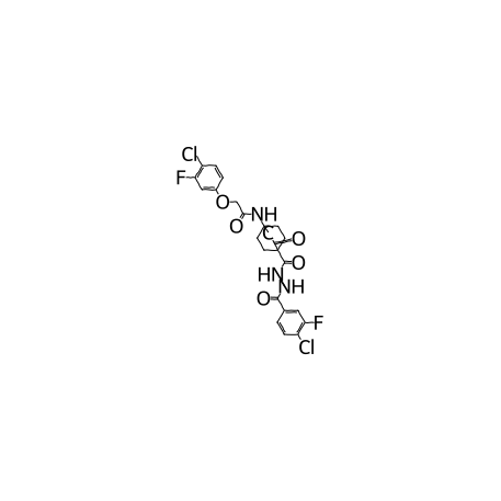 O=C(COc1ccc(Cl)c(F)c1)NC12CCC(C(=O)NNC(=O)c3ccc(Cl)c(F)c3)(CC1)C(=O)C2